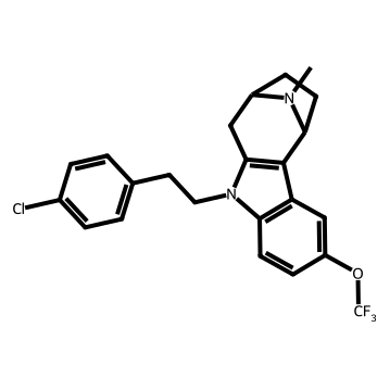 CN1C2CCC1c1c(n(CCc3ccc(Cl)cc3)c3ccc(OC(F)(F)F)cc13)C2